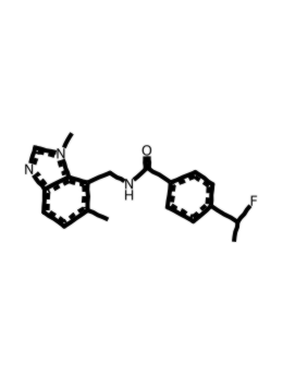 Cc1ccc2ncn(C)c2c1CNC(=O)c1ccc(C(C)F)cc1